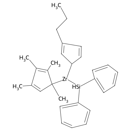 CCCC1=C[CH]([Zr]([SiH](c2ccccc2)c2ccccc2)[C]2(C)C=C(C)C(C)=C2C)C=C1